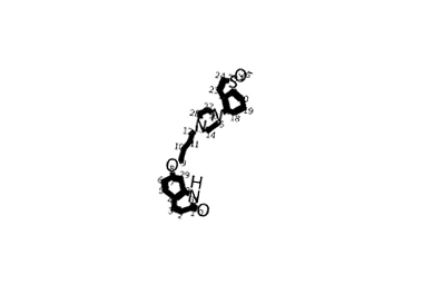 O=c1ccc2ccc(OCCCCN3CCN(c4cccc5c4cc[s+]5[O-])CC3)cc2[nH]1